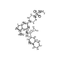 CCC(C)n1ncc2nc(N3CCN(S(N)(=O)=O)CC3)nc(NC(c3cnc4ccccc4c3)C3CC3)c21